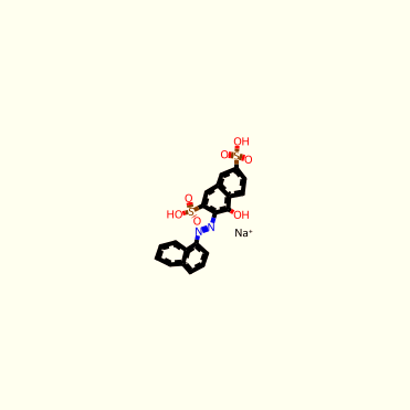 O=S(=O)(O)c1ccc2c(O)c(N=Nc3cccc4ccccc34)c(S(=O)(=O)O)cc2c1.[Na+]